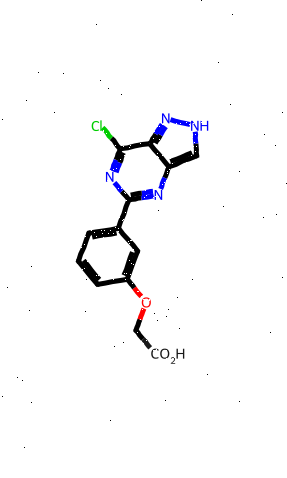 O=C(O)COc1cccc(-c2nc(Cl)c3n[nH]cc3n2)c1